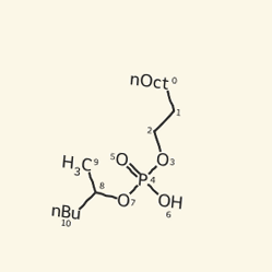 CCCCCCCCCCOP(=O)(O)OC(C)CCCC